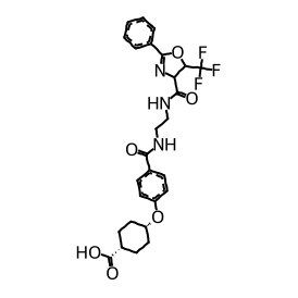 O=C(NCCNC(=O)C1N=C(c2ccccc2)OC1C(F)(F)F)c1ccc(O[C@H]2CC[C@@H](C(=O)O)CC2)cc1